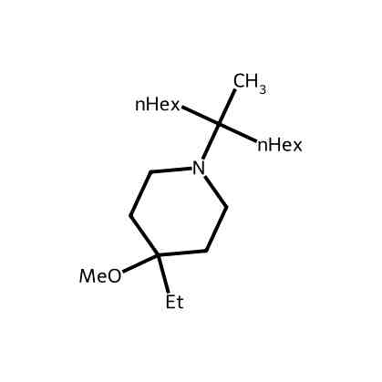 CCCCCCC(C)(CCCCCC)N1CCC(CC)(OC)CC1